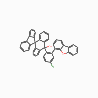 OC1(c2ccc(Cl)cc2-c2cccc3c2oc2ccccc23)c2ccccc2C2(c3ccccc3-c3ccccc32)c2ccccc21